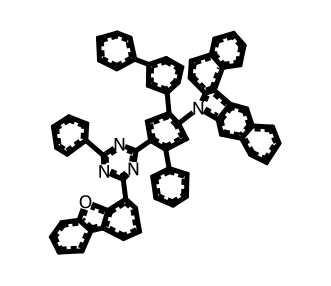 c1ccc(-c2cccc(-c3cc(-c4nc(-c5ccccc5)nc(-c5cccc6c5oc5ccccc56)n4)c(-c4ccccc4)cc3-n3c4cc5ccccc5cc4c4c5ccccc5ccc43)c2)cc1